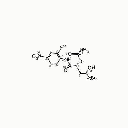 CC(C)(C)C(O)C[C@H](OC(N)=O)C(=O)Nc1ccc([N+](=O)[O-])cc1F